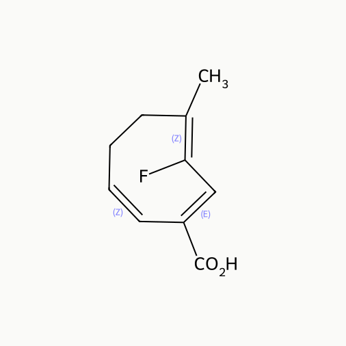 C\C1=C(F)/C=C(C(=O)O)\C=C/CC1